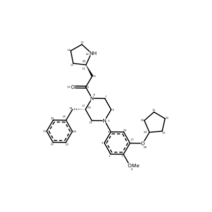 COc1ccc(N2CCN(C(=O)C[C@H]3CCCN3)[C@@H](Cc3ccccc3)C2)cc1OC1CCCC1